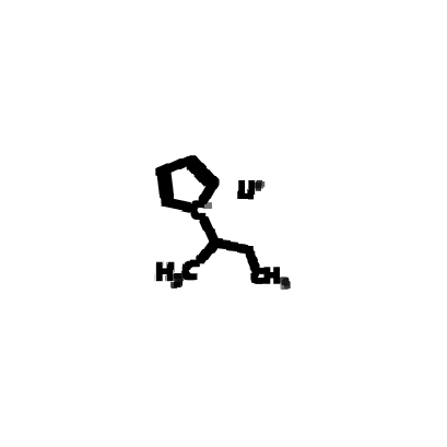 CCC(C)[c-]1cccc1.[Li+]